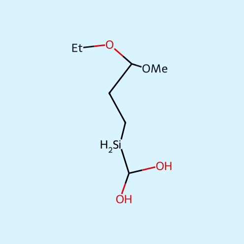 CCOC(CC[SiH2]C(O)O)OC